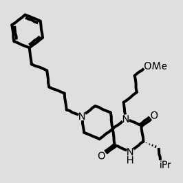 COCCCN1C(=O)[C@H](CC(C)C)NC(=O)C12CCN(CCCCCc1ccccc1)CC2